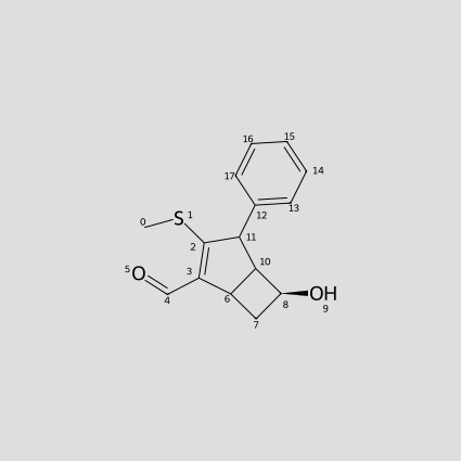 CSC1=C(C=O)C2C[C@H](O)C2C1c1ccccc1